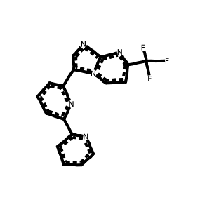 FC(F)(F)c1ccn2c(-c3cccc(-c4ccccn4)n3)cnc2n1